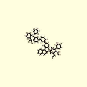 C=Cc1nc(-n2c3ccc(-c4cccc(-c5ccc6c(c5)N(c5ccccc5)c5ccccc5C6(C)C)c4)cc3c3c4ccccc4ccc32)nc(-c2ccccc2)c1C=C